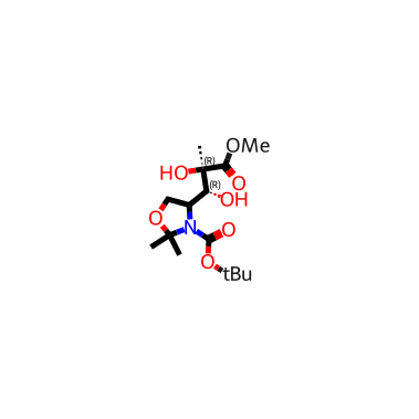 COC(=O)[C@](C)(O)[C@H](O)C1COC(C)(C)N1C(=O)OC(C)(C)C